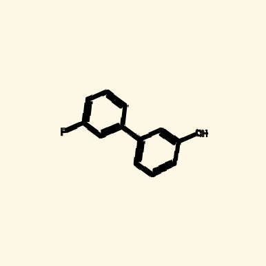 Oc1cccc(-c2[c]ccc(F)c2)c1